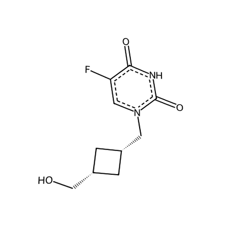 O=c1[nH]c(=O)n(C[C@H]2C[C@@H](CO)C2)cc1F